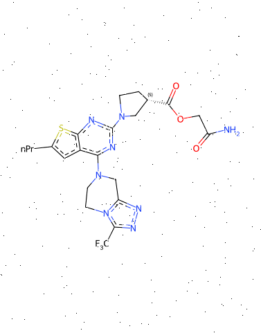 CCCc1cc2c(N3CCn4c(nnc4C(F)(F)F)C3)nc(N3CC[C@H](C(=O)OCC(N)=O)C3)nc2s1